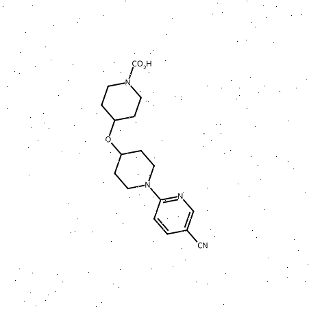 N#Cc1ccc(N2CCC(OC3CCN(C(=O)O)CC3)CC2)nc1